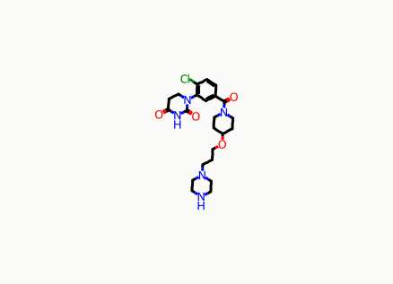 O=C1CCN(c2cc(C(=O)N3CCC(OCCCN4CCNCC4)CC3)ccc2Cl)C(=O)N1